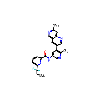 CNCC(F)(F)c1cccc(C(=O)Nc2cnc(C)c(-c3cnc4cc(NC)ncc4c3)c2)n1